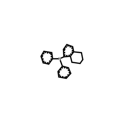 c1ccc(N(c2ccccc2)c2cccc3c2CCCC3)cc1